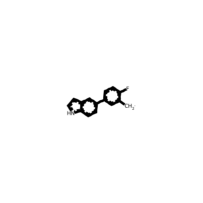 [CH2]c1cc(-c2ccc3[nH]ccc3c2)ccc1F